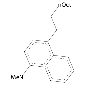 CCCCCCCCCCc1ccc(NC)c2ccccc12